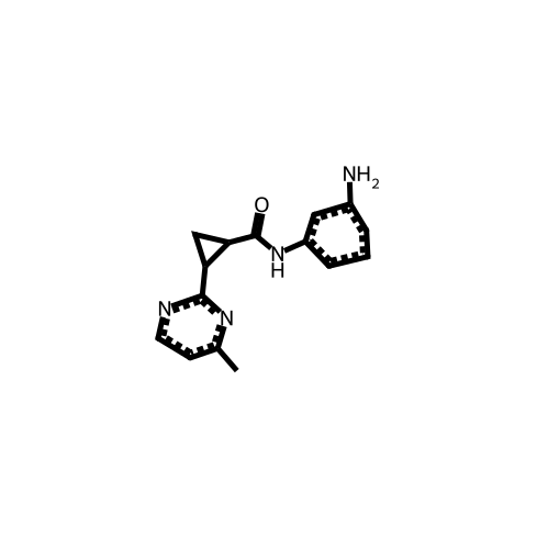 Cc1ccnc(C2CC2C(=O)Nc2cccc(N)c2)n1